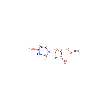 COC[C@H]1O[C@@H](n2ccc(=O)[nH]c2=S)C[C@@H]1O